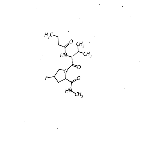 CCCC(=O)NC(C(=O)N1CC(F)CC1C(=O)NC)C(C)C